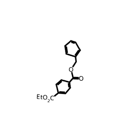 CCOC(=O)c1ccc(C(=O)OCc2ccccc2)cc1